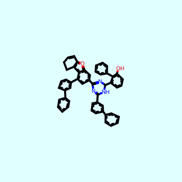 Oc1cccc(C2N=C(c3cc(-c4cccc(-c5ccccc5)c4)c4c5c(oc4c3)C=CCC5)N=C(c3cccc(-c4ccccc4)c3)N2)c1-c1ccccc1